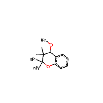 CCCC1(CCC)Oc2ccccc2C(OC(C)C)C1(C)C